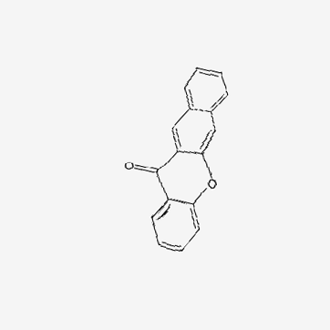 O=c1c2ccccc2oc2cc3ccccc3cc12